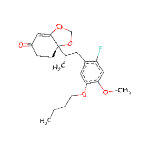 CCCCOc1cc(C[C@H](C)[C@]23CCC(=O)C=C2OCO3)c(F)cc1OC